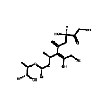 C=C(C[C@@](C)(O)C(=O)CO)/C(=C(/O)CC(C)=O)[C@H](C)O[C@@H](CC)OC(C)[C@H](O)CC